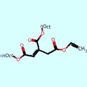 C=COC(=O)C/C(=C/C(=O)OCCCCCCCC)C(=O)OCCCCCCCC